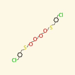 ClCc1ccc(CCSCCOCCOCCOCCOCCSCCc2ccc(CCl)cc2)cc1